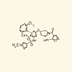 CCCc1oncc1C(=O)N1CCC(Oc2cc(-c3c(C)cccc3C)nc(NS(=O)(=O)c3cnn(C)c3)n2)C1